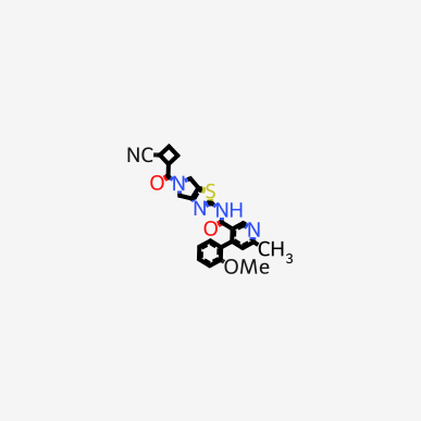 COc1ccccc1-c1cc(C)ncc1C(=O)Nc1nc2c(s1)CN(C(=O)C1CCC1C#N)C2